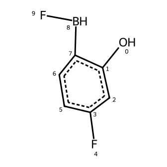 Oc1cc(F)ccc1BF